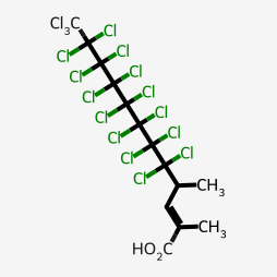 CC(=CC(C)C(Cl)(Cl)C(Cl)(Cl)C(Cl)(Cl)C(Cl)(Cl)C(Cl)(Cl)C(Cl)(Cl)C(Cl)(Cl)C(Cl)(Cl)Cl)C(=O)O